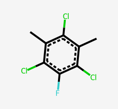 Cc1c(Cl)c(C)c(Cl)c(F)c1Cl